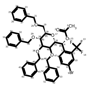 CC(=O)O[C@H](c1ccc(Br)cc1C(F)(F)F)[C@H]1O[C@H](COCc2ccccc2)[C@@H](OCc2ccccc2)C(OCc2ccccc2)C1OCc1ccccc1